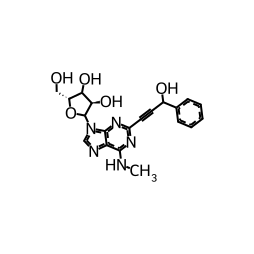 CNc1nc(C#CC(O)c2ccccc2)nc2c1ncn2C1O[C@H](CO)C(O)[C@H]1O